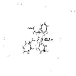 C=CCNC(CCc1ccccc1)C(OC)(c1ccccc1)c1ccccc1.Cl